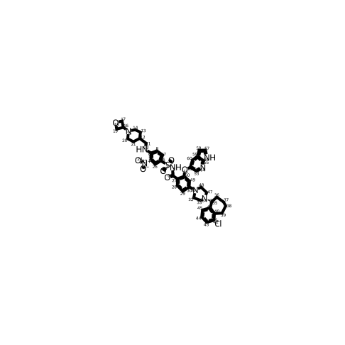 O=C(NS(=O)(=O)c1ccc(NCC2CCN(C3COC3)CC2)c([N+](=O)[O-])c1)c1ccc(N2CCN([C@@H]3CCCCc4c(Cl)cccc43)CC2)cc1Oc1cnc2[nH]ccc2c1